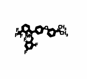 CN(C)c1cccc(Oc2ccc(-c3c4cccc(C(F)(F)F)c4nn3Cc3c(F)cc(F)cc3F)cc2)c1